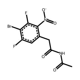 CC(=O)NC(=O)Cc1cc(F)c(Br)c(F)c1[N+](=O)[O-]